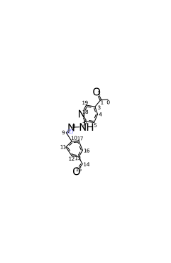 CC(=O)c1ccc(N/N=C\c2ccc(C=O)cc2)nc1